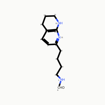 O=CNCCCCc1ccc2c(n1)NCCC2